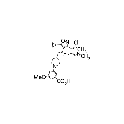 C=N/C=C(Cl)\C(=C(/C)Cl)c1noc(C2CC2)c1/C=C/C1CCN(c2cc(OC)cc(C(=O)O)c2)CC1